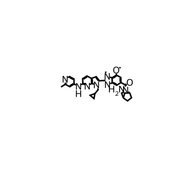 COc1cc(C(=O)N2CC3CCC2C3N)cc2nc(-c3cc4ccc(Nc5ccnc(C)c5)nc4n3CC3CC3)n(C)c12